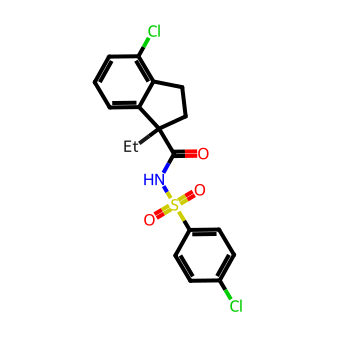 CCC1(C(=O)NS(=O)(=O)c2ccc(Cl)cc2)CCc2c(Cl)cccc21